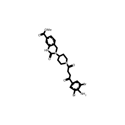 COC(=O)c1ccc2c(c1)NC(=O)N(C1CCN(C(=O)CCC(=O)c3cc(Br)c(N)c(Br)c3)CC1)C2